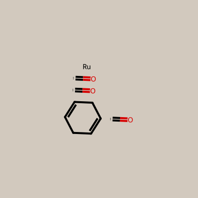 C1=CCC=CC1.[C]=O.[C]=O.[C]=O.[Ru]